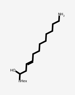 CCCCCCC(O)CC=CCCCCCCCCN